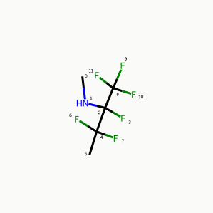 CNC(F)(C(C)(F)F)C(F)(F)F